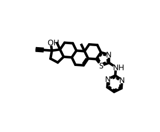 C#CC1(O)CCC2C3CC=C4c5sc(Nc6ncccn6)nc5CCC4(C)C3CCC21C